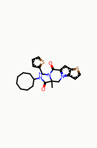 CC1(C(=O)NC2CCCCCCC2)Cn2c(cc3sccc32)C(=O)N1Cc1cccs1